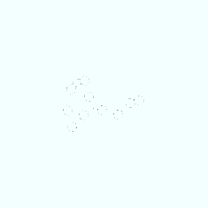 c1ccc(-c2ccccc2-c2ccc(N(c3ccc(-c4cccc(-c5ccc6ccccc6c5)c4)cc3)c3ccc(-c4cccc5sc6ccccc6c45)cc3)cc2)cc1